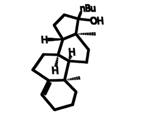 CCCCC1(O)CC[C@H]2[C@@H]3CCC4=CCCC[C@]4(C)[C@@H]3CC[C@@]21C